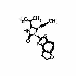 CC#C[C@@H]1C(C(C)C)NC(=O)N1c1nc2c3c(ccc2s1)OCC3